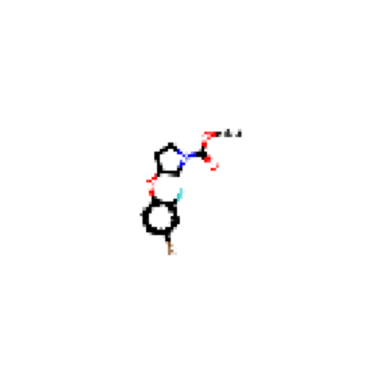 CCCCOC(=O)N1CCC(Oc2ccc(Br)cc2F)C1